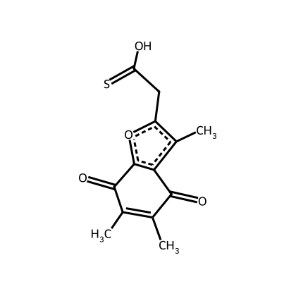 CC1=C(C)C(=O)c2c(oc(CC(O)=S)c2C)C1=O